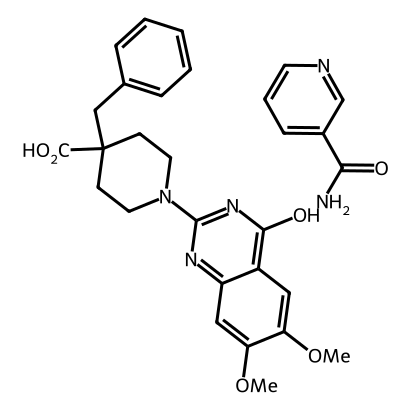 COc1cc2nc(N3CCC(Cc4ccccc4)(C(=O)O)CC3)nc(O)c2cc1OC.NC(=O)c1cccnc1